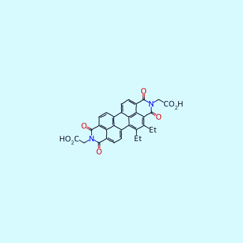 CCc1c2c3c(ccc4c5ccc6c7c(ccc(c(c1CC)c34)c75)C(=O)N(CC(=O)O)C6=O)C(=O)N(CC(=O)O)C2=O